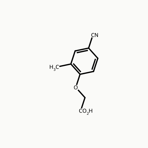 Cc1cc(C#N)ccc1OCC(=O)O